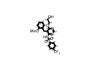 COc1ccccc1Cc1c(NS(=O)(=O)c2ccc(C(F)(F)F)cc2)ncnc1OCCO